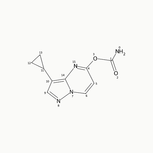 NC(=O)Oc1ccn2ncc(C3CC3)c2n1